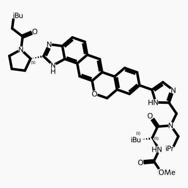 CCC(C)CC(=O)N1CCC[C@H]1c1nc2ccc3cc4c(cc3c2[nH]1)OCc1cc(-c2cnc(CN(CC(C)C)C(=O)[C@@H](NC(=O)OC)[C@@H](C)CC)[nH]2)ccc1-4